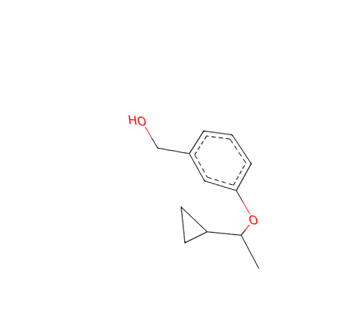 CC(Oc1cccc(CO)c1)C1CC1